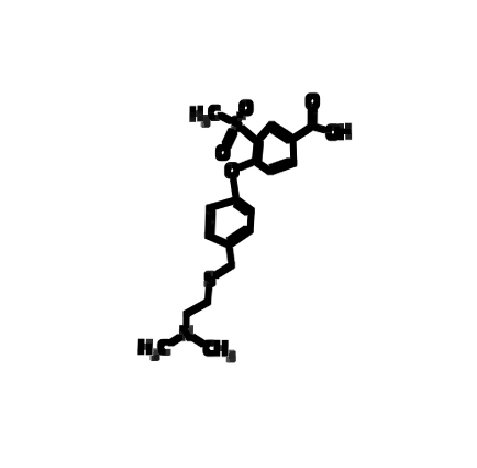 CN(C)CCSCc1ccc(Oc2ccc(C(=O)O)cc2S(C)(=O)=O)cc1